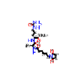 CNC(=O)[C@H](CCCNC(N)=O)NC(=O)[C@@H](NC(=O)CCCCCN1C(=O)CCC1=O)C(C)C